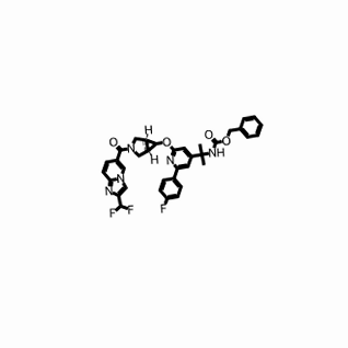 CC(C)(NC(=O)OCc1ccccc1)c1cc(OC2[C@H]3CN(C(=O)c4ccc5nc(C(F)F)cn5c4)C[C@@H]23)nc(-c2ccc(F)cc2)c1